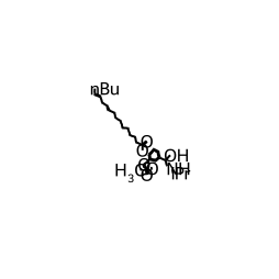 CCCCC=CCC=CCCCCCCCCC(=O)Oc1ccc(C(O)CNC(C)C)cc1OS(C)(=O)=O